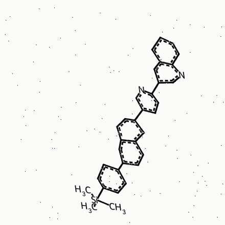 C[Si](C)(C)c1ccc(-c2ccc3cc(-c4ccc(-c5cnc6ccccc6c5)nc4)ccc3c2)cc1